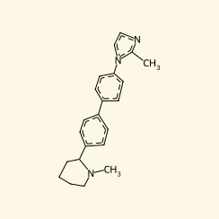 Cc1nccn1-c1ccc(-c2ccc(C3CCCCN3C)cc2)cc1